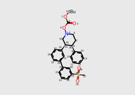 CC(C)(C)OC(=O)ON1CC[C@@H](c2ccccc2)[C@@H](c2cccc(-c3cccc(S(C)(=O)=O)c3)c2)C1